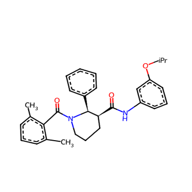 Cc1cccc(C)c1C(=O)N1CCC[C@H](C(=O)Nc2cccc(OC(C)C)c2)[C@@H]1c1ccccc1